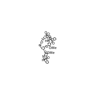 COc1cc2c(cc1OCc1cc(COc3cc4c(cc3OC)C(=O)N3c5ccccc5C[C@H]3CN4)cc(CN(C)CCOCC(C)(C)SCC(=O)ON3C(=O)CCC3=O)c1)N=C[C@@H]1Cc3ccccc3N1C2=O